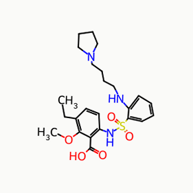 CCc1ccc(NS(=O)(=O)c2ccccc2NCCCCN2CCCC2)c(C(=O)O)c1OC